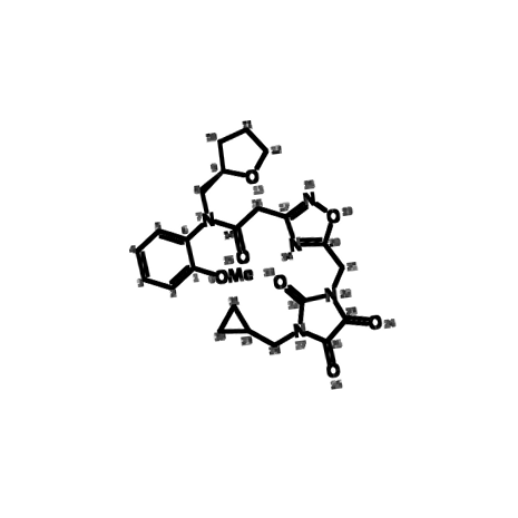 COc1ccccc1N(C[C@H]1CCCO1)C(=O)Cc1noc(CN2C(=O)C(=O)N(CC3CC3)C2=O)n1